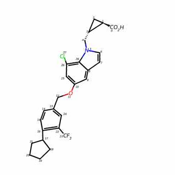 O=C(O)[C@@H]1C[C@H]1Cn1ccc2cc(OCc3ccc(C4CCCC4)c(C(F)(F)F)c3)cc(Cl)c21